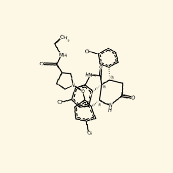 CCNC(=O)C1CCN(Oc2ccc(Cl)cc2[C@H]2NC(=O)C[C@@H](c3cccc(Cl)c3)[C@]23C(=O)Nc2cc(Cl)ccc23)C1